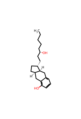 CCCCC[C@H](O)CC[C@H]1CC[C@@H]2Cc3c(O)cccc3C[C@H]12